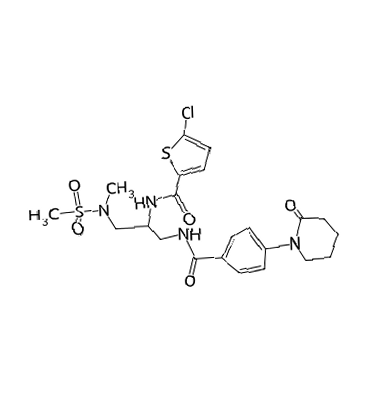 CN(CC(CNC(=O)c1ccc(N2CCCCC2=O)cc1)NC(=O)c1ccc(Cl)s1)S(C)(=O)=O